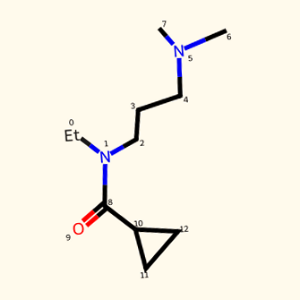 CCN(CCCN(C)C)C(=O)C1CC1